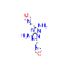 Nc1nc2nc(CCN3CCOCC3)nc(N)c2nc1CCN1CCOCC1